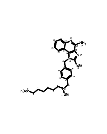 CCCCCCCCCCCCCCCCN(Cc1ccc(Cn2c(CCCC)nc3c(N)nc4ccccc4c32)cc1)C(C)(C)C